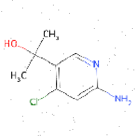 CC(C)(O)c1cnc(N)cc1Cl